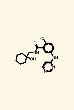 O=C(NCC1(O)CCCCC1)c1cc(Nc2ccncn2)ccc1Cl